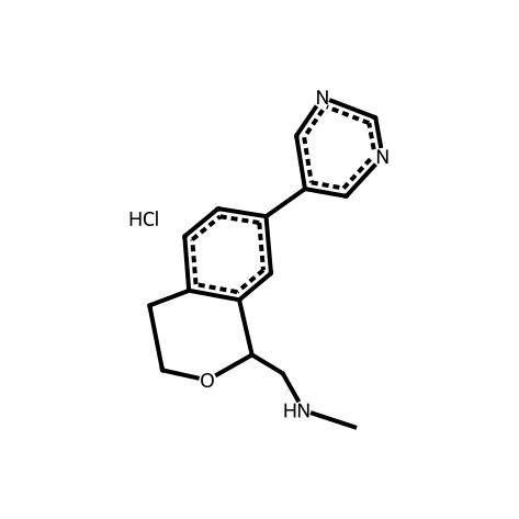 CNCC1OCCc2ccc(-c3cncnc3)cc21.Cl